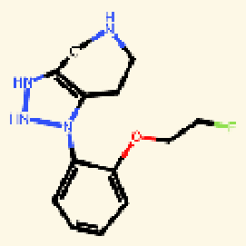 FCCOc1ccccc1N1NNC2=C1CCNC2